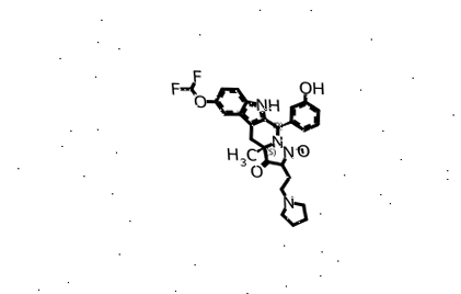 C[C@@]12Cc3c([nH]c4ccc(OC(F)F)cc34)[C@@H](c3cccc(O)c3)N1[N+](=O)C(CCN1CCCC1)C2=O